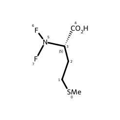 CSCC[C@@H](C(=O)O)N(F)F